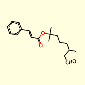 CC(CC=O)CCCC(C)(C)OC(=O)C=Cc1ccccc1